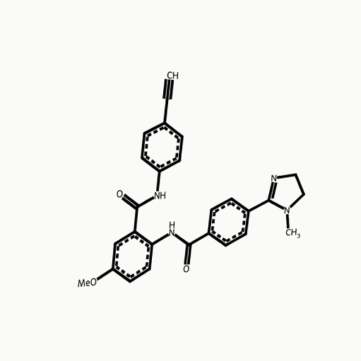 C#Cc1ccc(NC(=O)c2cc(OC)ccc2NC(=O)c2ccc(C3=NCCN3C)cc2)cc1